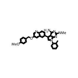 CNc1nc(N)c2c(-c3ccc4ncc(OCc5ccc(OC)cc5)cc4c3)cn(-c3ccccc3C)c2n1